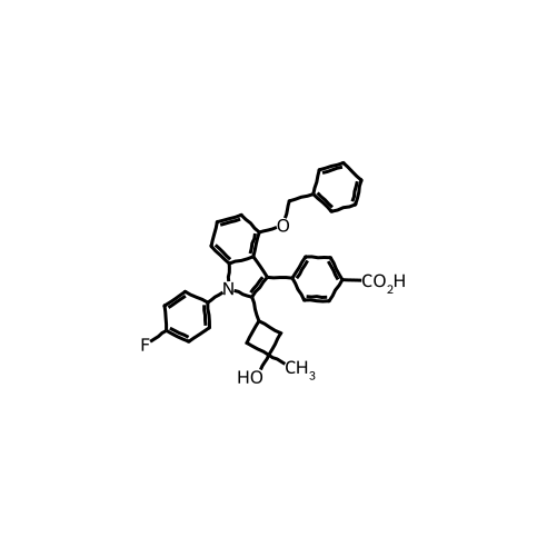 CC1(O)CC(c2c(-c3ccc(C(=O)O)cc3)c3c(OCc4ccccc4)cccc3n2-c2ccc(F)cc2)C1